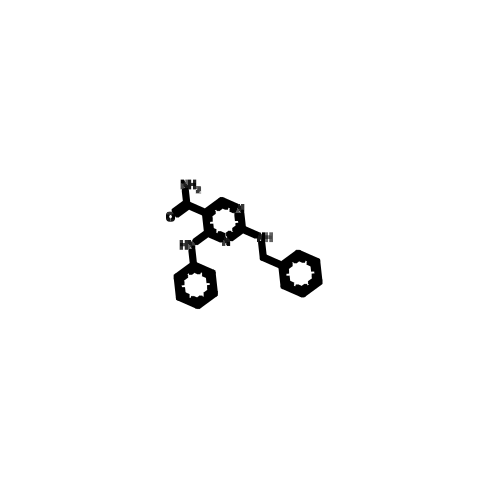 NC(=O)c1cnc(NCc2ccccc2)nc1Nc1ccccc1